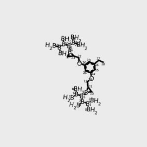 BB(B)B(B)B(B(B)B)B1CC1COc1cc(CC)cc(OCC2CB2B(B(B)B)B(B)B(B)B)c1